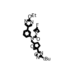 CCOc1ncc(-c2cccc(N(CC34CCC(c5nc(C(C)(C)C)no5)(CO3)C4)C(=O)S34CC(F)(C3)C4)c2)cn1